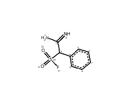 N=C(N)C(c1ccccc1)S(=O)(=O)F